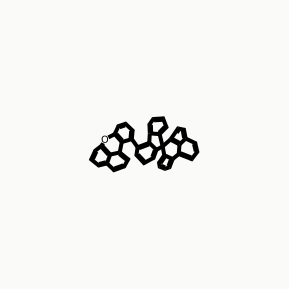 c1ccc2c(c1)-c1c(-c3cccc4c3-c3cccc5cccc(c35)O4)cccc1C21c2ccccc2-c2cccc3cccc1c23